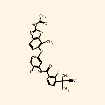 CC(=O)Nc1nc2ccc(Oc3ccc(F)c(NC(=O)c4cccc(C(C)(C)C#N)c4Cl)c3)c(C)c2s1